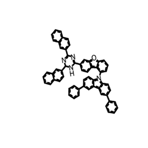 c1ccc(-c2ccc3c(c2)c2cc(-c4ccccc4)ccc2n3-c2cccc3oc4cc(C5=NC(c6ccc7ccccc7c6)=NC(c6ccc7ccccc7c6)N5)ccc4c23)cc1